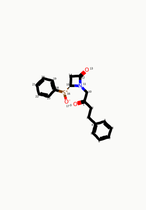 O=C(CCc1ccccc1)CN1C(=O)C[C@H]1[S+]([O-])c1ccccc1